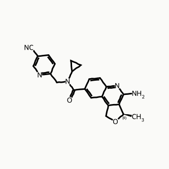 C[C@H]1OCc2c1c(N)nc1ccc(C(=O)N(Cc3ccc(C#N)cn3)C3CC3)cc21